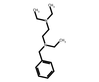 CCN(CC)CCN(CC)Cc1ccccc1